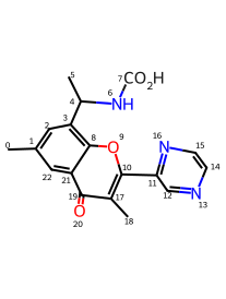 Cc1cc(C(C)NC(=O)O)c2oc(-c3cnccn3)c(C)c(=O)c2c1